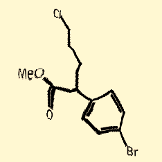 COC(=O)C(CCCCl)c1ccc(Br)cc1